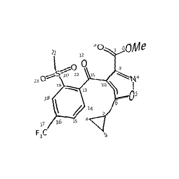 COC(=O)c1noc(C2CC2)c1C(=O)c1ccc(C(F)(F)F)cc1S(C)(=O)=O